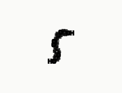 O=C(CCc1ccc(Oc2ccc(O)cc2)cc1)CC(=O)CCc1ccc(Oc2ccc(O)cc2)cc1